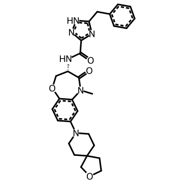 CN1C(=O)[C@@H](NC(=O)c2n[nH]c(Cc3ccccc3)n2)COc2ccc(N3CCC4(CCOC4)CC3)cc21